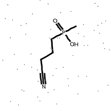 CP(=O)(O)CCCC#N